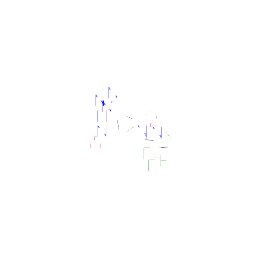 CC(=O)NCc1cc(C(c2nncn2C)C2CCC2)cc(-n2cc3c(C(F)(F)F)cccn3c2=O)c1